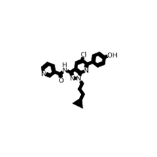 O=C(Nc1nn(CCCC2CC2)c2nc(-c3ccc(O)cc3)c(Cl)cc12)c1cccnc1